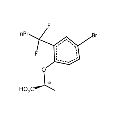 CCCC(F)(F)c1cc(Br)ccc1O[C@@H](C)C(=O)O